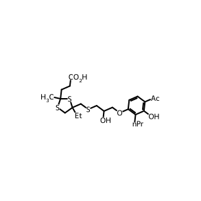 CCCc1c(OCC(O)CSCC2(CC)CSC(C)(CCC(=O)O)S2)ccc(C(C)=O)c1O